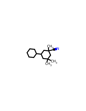 CC1(C)CC(C2CCCCC2)CC(C)(C#N)C1